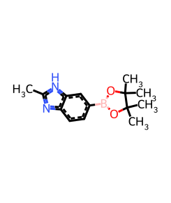 Cc1nc2ccc(B3OC(C)(C)C(C)(C)O3)cc2[nH]1